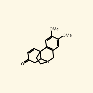 COc1cc2c(cc1OC)C13C=CC(=O)CC1N(CC3)C2